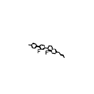 CCCCc1ccc2c(F)c(-c3ccc(-c4ccc(C)cc4)c(F)c3)ccc2c1